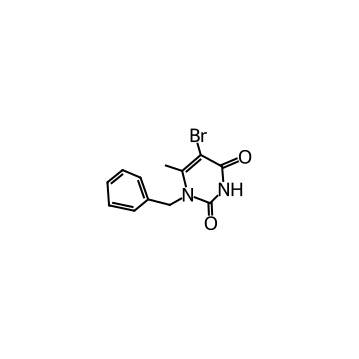 Cc1c(Br)c(=O)[nH]c(=O)n1Cc1ccccc1